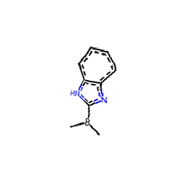 CB(C)c1nc2ccccc2[nH]1